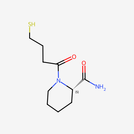 NC(=O)[C@@H]1CCCCN1C(=O)CCCS